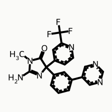 CN1C(=O)C(c2cccc(-c3cncnc3)c2)(c2ccnc(C(F)(F)F)c2)N=C1N